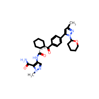 Cc1cc(-c2ccc(C(=O)[C@@H]3CCCC[C@H]3C(=O)Nc3cnn(C)c3C(N)=O)cc2)n(C2CCCCO2)n1